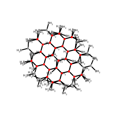 BBB(B(B)B)B(B(B)B)B(B(B(B)B)B(B)B)B(B(B(B(B(B)B)B(B)B)B(B(B)B)B(B)B)B(B(B(B)B)B(B)B)B(B(B)B)B(B)B)B(B(B(B(B(B)B)B(B)B)B(B(B)B)B(B)B)B(B(B(B)B)B(B)B)B(B(B)B)B(B)B)B(B(B(B(B(B)B)B(B)B)B(B(B)B)B(B)B)B(B(B(B)B)B(B)B)B(B(B)B)B(B)B)B(B(B(B(B)B)B(B)B)B(B(B)B)B(B)B)B(B(B(B)B)B(B)B)B(B(B)B)B(B)B